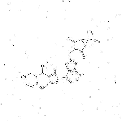 CC(c1[nH]c(-c2ccnc3cc(CN4C(=O)C5C(C4=O)C5(C)C)sc23)cc1[N+](=O)[O-])[C@H]1CNCCO1